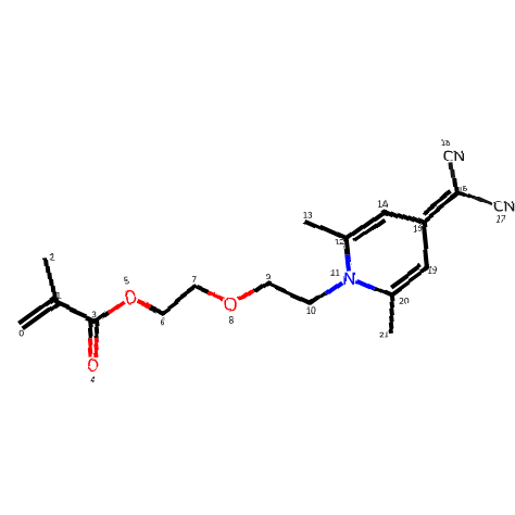 C=C(C)C(=O)OCCOCCN1C(C)=CC(=C(C#N)C#N)C=C1C